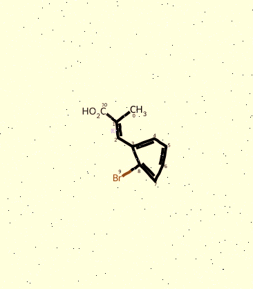 C/C(=C\c1ccccc1Br)C(=O)O